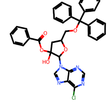 O=C(OC1(O)CC(COC(c2ccccc2)(c2ccccc2)c2ccccc2)OC1n1cnc2c(Cl)ncnc21)c1ccccc1